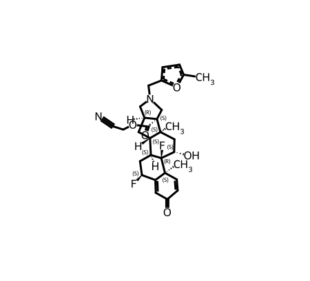 Cc1ccc(CN2C[C@@H]3C[C@H]4[C@@H]5C[C@H](F)C6=CC(=O)C=C[C@]6(C)[C@@]5(F)[C@@H](O)C[C@]4(C)[C@]3(C(=O)OCC#N)C2)o1